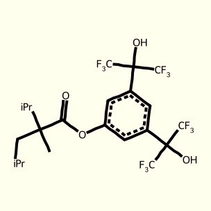 CC(C)CC(C)(C(=O)Oc1cc(C(O)(C(F)(F)F)C(F)(F)F)cc(C(O)(C(F)(F)F)C(F)(F)F)c1)C(C)C